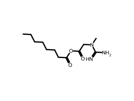 CCCCCCCC(=O)OC(=O)CN(C)C(=N)N